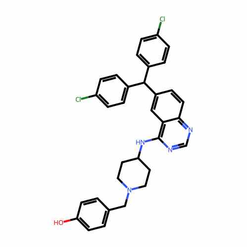 Oc1ccc(CN2CCC(Nc3ncnc4ccc(C(c5ccc(Cl)cc5)c5ccc(Cl)cc5)cc34)CC2)cc1